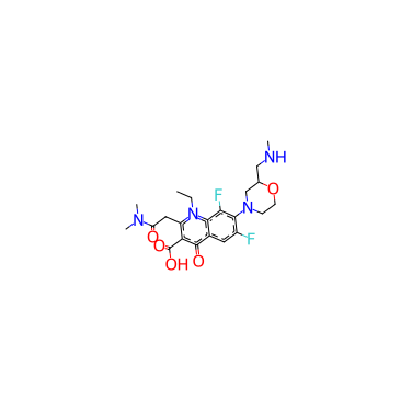 CCn1c(CC(=O)N(C)C)c(C(=O)O)c(=O)c2cc(F)c(N3CCOC(CNC)C3)c(F)c21